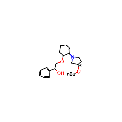 CCCCO[C@@H]1CCN(C2CCCCC2OCC(O)c2ccccc2)C1